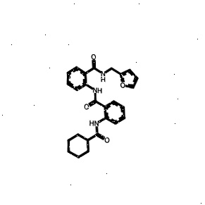 O=C(NCc1ccco1)c1ccccc1NC(=O)c1ccccc1NC(=O)C1CCCCC1